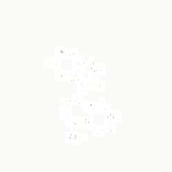 [NH]C(=O)N1CCNCC1C(=O)c1c[nH]c2ccccc12